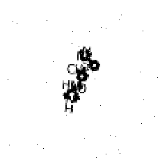 CC1(C)CC(NC(=O)c2ccc(Oc3ccccc3-c3cncnc3)c(Cl)c2)CC(C)(C)N1